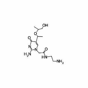 CC(CO)OC(C)c1cn(CC(=O)NCCN)c(N)nc1=O